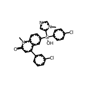 Cn1cncc1[Si@@](O)(c1ccc(Cl)cc1)c1ccc2c(c1)c(-c1cccc(Cl)c1)cc(=O)n2C